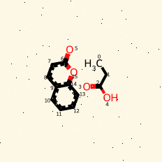 CCC(=O)O.O=c1ccc2ccccc2o1